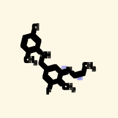 C=C1C(F)=CC(CNc2cc(Cl)ccc2C)=C/C1=N/C=C\C